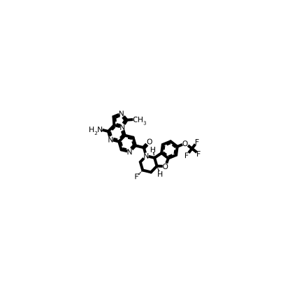 Cc1ncc2c(N)nc3cnc(C(=O)N4C[C@@H](F)C[C@@H]5Oc6cc(OC(F)(F)F)ccc6[C@@H]54)cc3n12